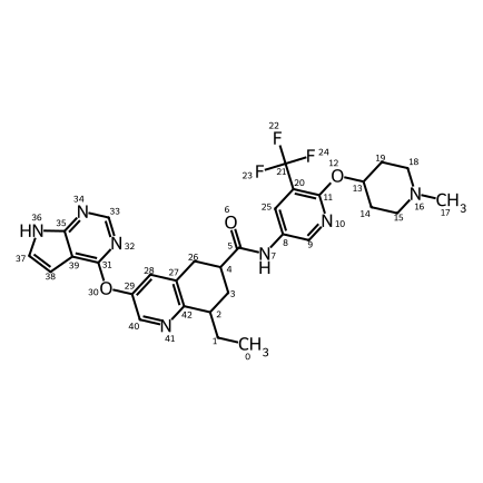 CCC1CC(C(=O)Nc2cnc(OC3CCN(C)CC3)c(C(F)(F)F)c2)Cc2cc(Oc3ncnc4[nH]ccc34)cnc21